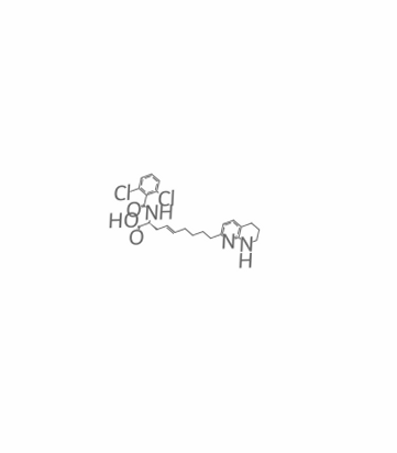 O=C(N[C@@H](C/C=C/CCCCc1ccc2c(n1)NCCC2)C(=O)O)c1c(Cl)cccc1Cl